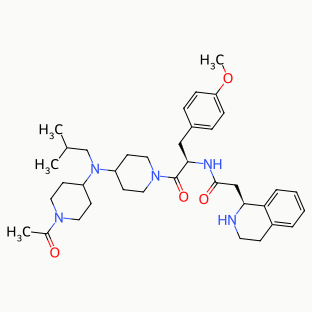 COc1ccc(C[C@@H](NC(=O)C[C@@H]2NCCc3ccccc32)C(=O)N2CCC(N(CC(C)C)C3CCN(C(C)=O)CC3)CC2)cc1